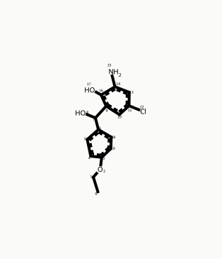 CCOc1ccc(C(O)c2cc(Cl)cc(N)c2O)cc1